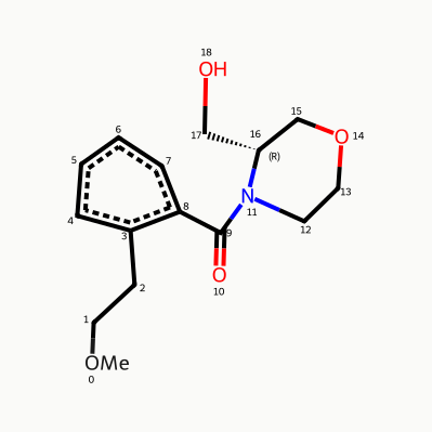 COCCc1ccccc1C(=O)N1CCOC[C@H]1CO